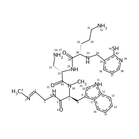 C/N=C/CNC(=O)[C@H](Cc1c[nH]c2ccccc12)N(C)C(=O)[C@H](CN)NC(=O)[C@H](CCCN)NCc1cccnc1S